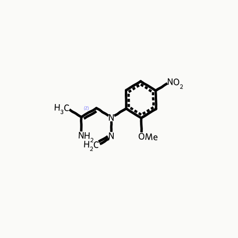 C=NN(/C=C(/C)N)c1ccc([N+](=O)[O-])cc1OC